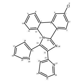 Clc1ccc2c(c1)c1ccccc1n1c(-c3ccccn3)c(-c3ccccn3)nc21